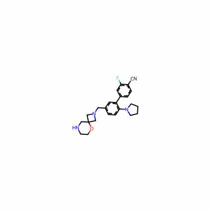 N#Cc1ccc(-c2cc(CN3CC4(CNCCO4)C3)ccc2N2CCCC2)cc1F